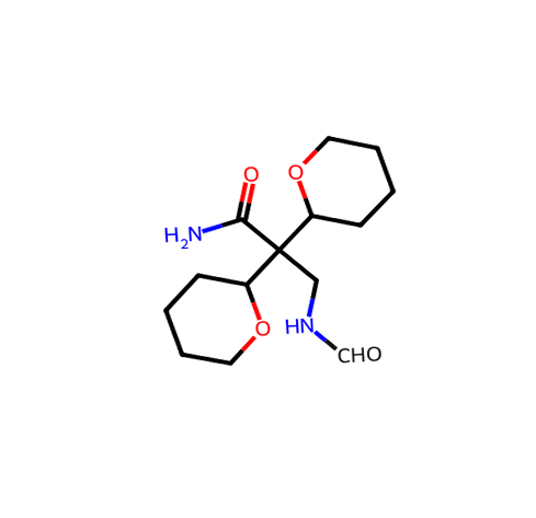 NC(=O)C(CNC=O)(C1CCCCO1)C1CCCCO1